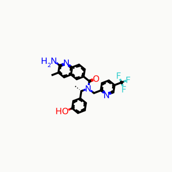 Cc1cc2cc(C(=O)N(Cc3ccc(C(F)(F)F)cn3)[C@@H](C)c3cccc(O)c3)ccc2nc1N